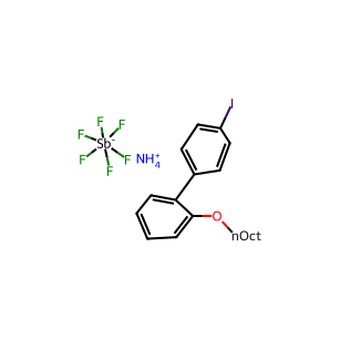 CCCCCCCCOc1ccccc1-c1ccc(I)cc1.[F][Sb-]([F])([F])([F])([F])[F].[NH4+]